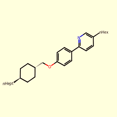 CCCCCCC[C@H]1CC[C@H](COc2ccc(-c3ccc(CCCCCC)cn3)cc2)CC1